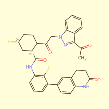 CC(=O)c1nn(CC(=O)C2CC[C@H](F)C[C@H]2C(=O)Nc2cccc(-c3ccc4c(c3)CCC(=O)N4)c2F)c2ccccc12